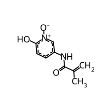 C=C(C)C(=O)Nc1ccc(O)[n+]([O-])c1